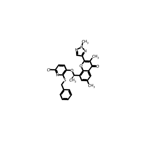 Cc1cc([C@@H](C)Oc2ccc(Cl)nc2SCc2ccccc2)c2oc(-c3cnn(C)n3)c(C)c(=O)c2c1